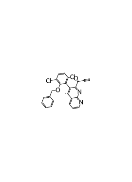 C#CC(=O)c1nc2ncccc2[c]c1-c1c(Cl)ccc(Cl)c1OCc1ccccc1